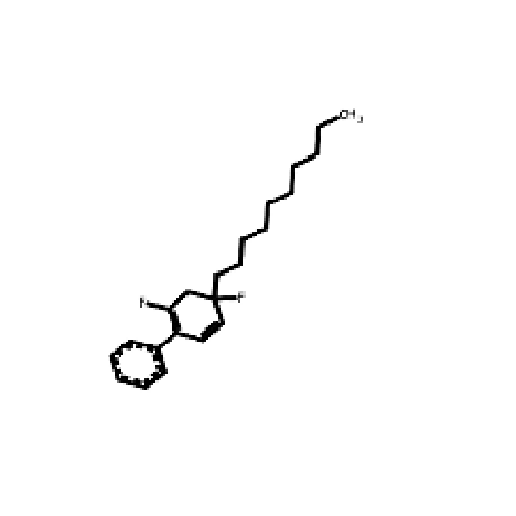 CCCCCCCCCCC1(F)C=CC(c2ccccc2)=C(F)C1